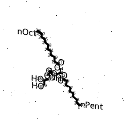 CCCCC/C=C\CCCCCCCC(=O)O[C@H](COC(=O)CCCCCCCCC/C=C\CCCCCCCC)COP(=O)(O)OC[C@@H](O)CO